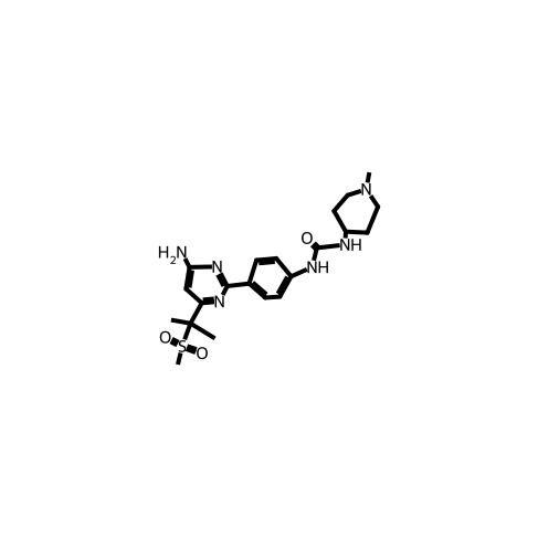 CN1CCC(NC(=O)Nc2ccc(-c3nc(N)cc(C(C)(C)S(C)(=O)=O)n3)cc2)CC1